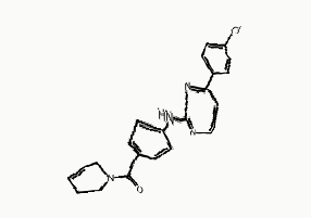 O=C(c1ccc(Nc2nccc(-c3ccc(Cl)cc3)n2)cc1)N1CC=CCC1